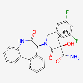 CC(C)C[C@](O)(C(N)=O)C(=O)N(Cc1cc(F)cc(F)c1)[C@@H]1C(=O)Nc2ccccc2-c2ccccc21